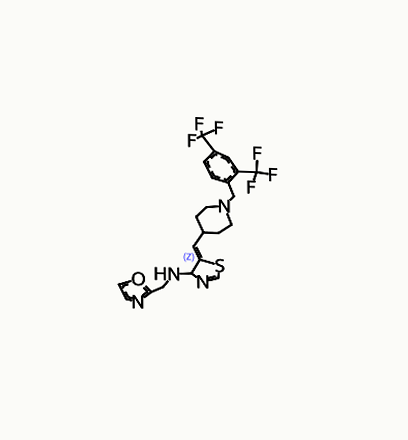 FC(F)(F)c1ccc(CN2CCC(/C=C3\SC=NC3NCc3ncco3)CC2)c(C(F)(F)F)c1